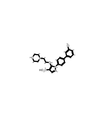 O=C(O)c1cnn(-c2ccc(-c3cccc(Cl)c3)cc2)c1OCCN1CCOCC1